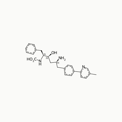 Cc1ccc(-c2ccc(C[C@H](N)C[C@H](O)[C@H](Cc3ccccc3)NC(=O)O)cc2)nc1